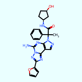 CC(C(=O)N[C@H]1CC[C@@H](O)C1)(c1ccccc1)n1ncc2c1nc(N)n1nc(-c3ccco3)nc21